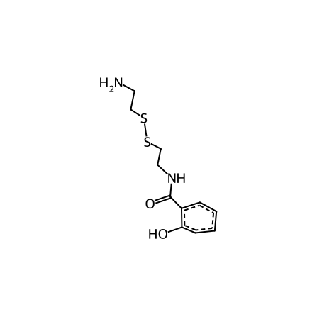 NCCSSCCNC(=O)c1ccccc1O